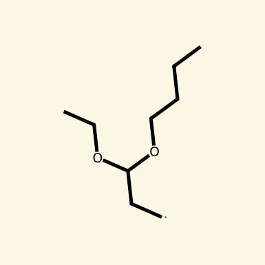 [CH2]CC(OCC)OCCCC